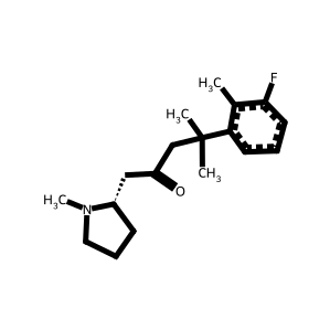 Cc1c(F)cccc1C(C)(C)CC(=O)C[C@@H]1CCCN1C